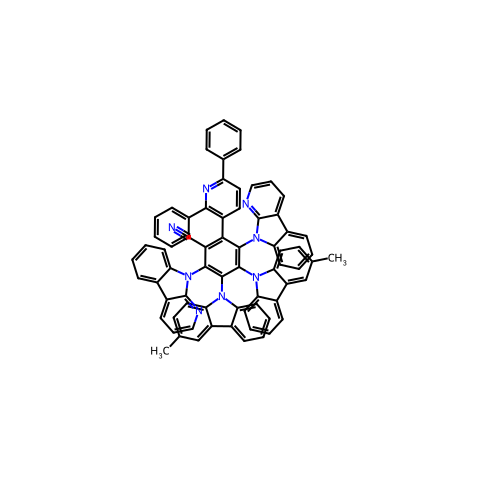 Cc1ccc2c(c1)c1ccccc1n2-c1c(-n2c3ccccc3c3cc(C)ccc32)c(-n2c3ccccc3c3cccnc32)c(-c2ccc(-c3ccccc3)nc2-c2ccccc2)c(C#N)c1-n1c2ccccc2c2cccnc21